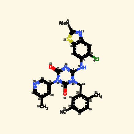 CNc1nc2cc(Cl)c(Nc3nc(=O)n(-c4cncc(C)c4)c(=O)n3Cc3cc(C#N)ccc3C)cc2s1